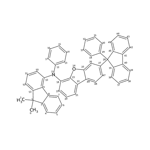 CC1(C)c2ccccc2-c2c(N(c3ccccc3)c3cccc4c3oc3cc(C5(c6ccccc6)c6ccccc6-c6ccccc65)ccc34)cccc21